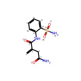 C=C(CC(N)=O)C(=O)Nc1ccccc1S(N)(=O)=O